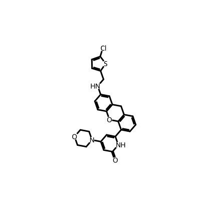 O=c1cc(N2CCOCC2)cc(-c2cccc3c2Oc2ccc(NCc4ccc(Cl)s4)cc2C3)[nH]1